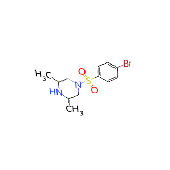 CC1CN(S(=O)(=O)c2ccc(Br)cc2)CC(C)N1